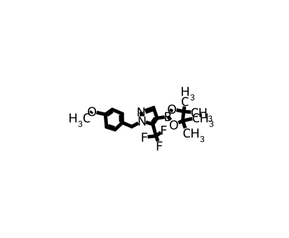 COc1ccc(Cn2ncc(B3OC(C)(C)C(C)(C)O3)c2C(F)(F)F)cc1